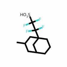 CC1CC2CCCC(C(F)(F)C(F)(F)S(=O)(=O)O)(C1)C2